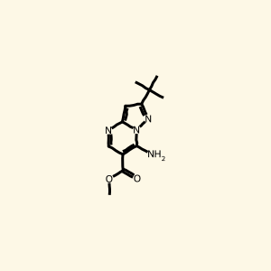 COC(=O)c1cnc2cc(C(C)(C)C)nn2c1N